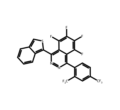 Fc1c(F)c(F)c2c(-c3scc4ccccc34)nnc(-c3ccc(C(F)(F)F)cc3C(F)(F)F)c2c1F